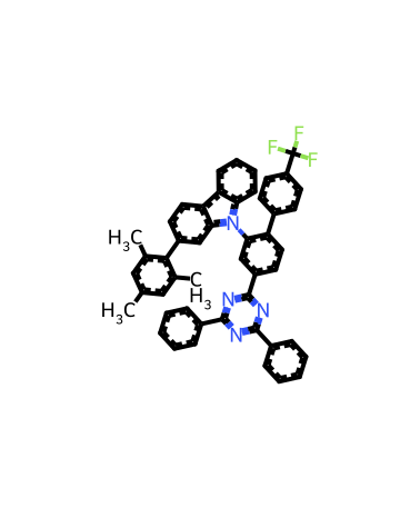 Cc1cc(C)c(-c2ccc3c4ccccc4n(-c4cc(-c5nc(-c6ccccc6)nc(-c6ccccc6)n5)ccc4-c4ccc(C(F)(F)F)cc4)c3c2)c(C)c1